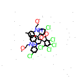 COCCNc1cc(C)ccc1C(=CC1(C=C(c2ccc(Cl)cc2)c2ccc(C)cc2NCCOC)OC(=O)c2c(Cl)c(Cl)c(Cl)c(Cl)c21)c1ccc(Cl)cc1